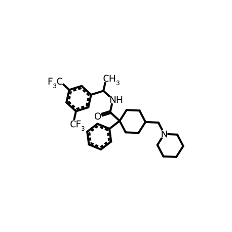 CC(NC(=O)C1(c2ccccc2)CCC(CN2CCCCC2)CC1)c1cc(C(F)(F)F)cc(C(F)(F)F)c1